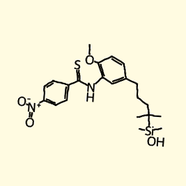 COc1ccc(CCCC(C)(C)[Si](C)(C)O)cc1NC(=S)c1ccc([N+](=O)[O-])cc1